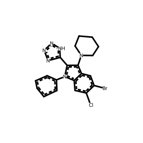 Clc1cc2c(cc1Br)c(N1CCCCC1)c(-c1nnn[nH]1)n2-c1ccccc1